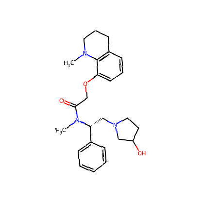 CN1CCCc2cccc(OCC(=O)N(C)[C@H](CN3CCC(O)C3)c3ccccc3)c21